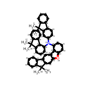 CC1(C)c2ccccc2-c2ccc(N(c3cccc4c3-c3ccccc3C4(C)C)c3cccc4oc5cc6c(cc5c34)-c3ccccc3C6(C)C)cc21